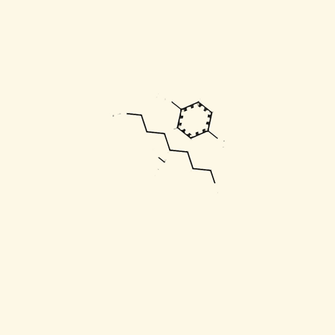 CCCCCCCCCCCCCCCCCC(=O)O.O=C(O)O.Oc1ccc(O)cc1.[CaH2].[Zn]